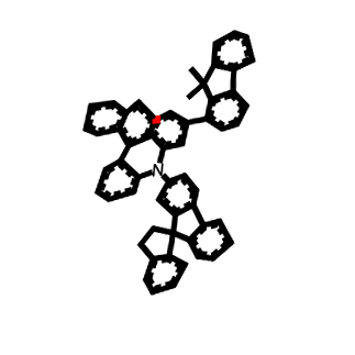 CC1(C)c2ccccc2-c2cccc(-c3cccc(N(c4ccc5c(c4)C4(CCc6ccccc64)c4ccccc4-5)c4ccccc4-c4cccc5ccccc45)c3)c21